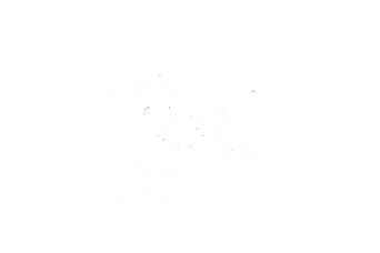 Cc1ccc(N(CCc2ccc(F)c(F)c2)C(=O)C(N)C2=CCC(Cl)S2)cc1C